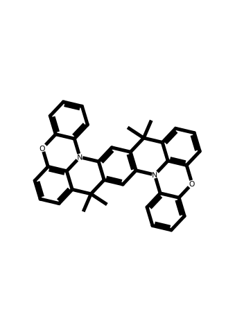 CC1(C)c2cc3c(cc2N2c4ccccc4Oc4cccc1c42)C(C)(C)c1cccc2c1N3c1ccccc1O2